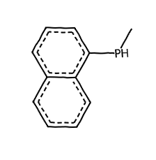 CPc1cccc2ccccc12